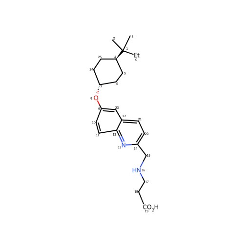 CCC(C)(C)[C@H]1CC[C@H](Oc2ccc3nc(CNCCC(=O)O)ccc3c2)CC1